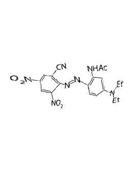 CCN(CC)c1ccc(/N=N/c2c(C#N)cc([N+](=O)[O-])cc2[N+](=O)[O-])c(NC(C)=O)c1